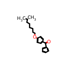 CC(C)CCCCCCOc1ccc(C(=O)c2ccccc2)cc1